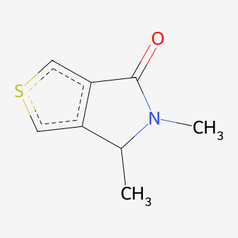 CC1c2cscc2C(=O)N1C